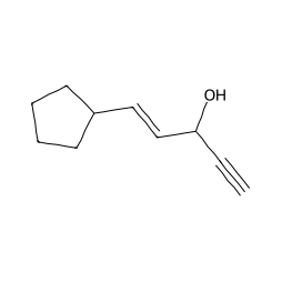 C#CC(O)/C=C/C1CCCC1